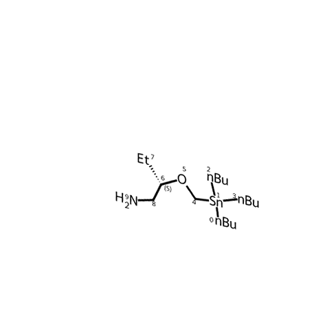 CCC[CH2][Sn]([CH2]CCC)([CH2]CCC)[CH2]O[C@@H](CC)CN